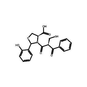 O=C(c1ccccc1)[C@H](CS)C(=O)N1C(c2ccccc2O)SC[C@H]1C(=O)O